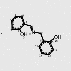 Oc1ccccc1C=NCc1ccccc1O